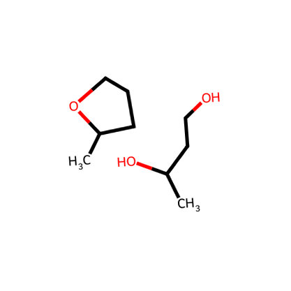 CC(O)CCO.CC1CCCO1